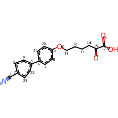 N#Cc1ccc(-c2ccc(OCCCCC(=O)C(=O)O)cc2)cc1